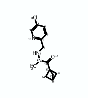 CN(NCc1ccc(Cl)cn1)C(=O)C12CC(C1)C2